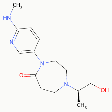 CNc1ccc(N2CCN([C@H](C)CO)CCC2=O)cn1